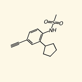 C#Cc1ccc(NS(C)(=O)=O)c(C2CCCC2)c1